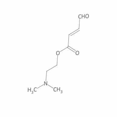 CN(C)CCOC(=O)/C=C/C=O